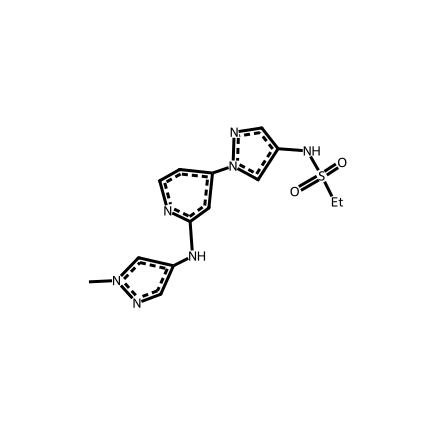 CCS(=O)(=O)Nc1cnn(-c2ccnc(Nc3cnn(C)c3)c2)c1